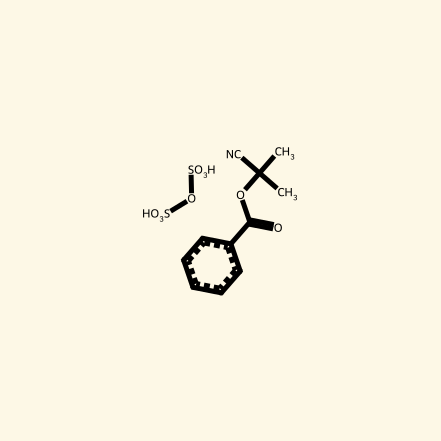 CC(C)(C#N)OC(=O)c1ccccc1.O=S(=O)(O)OS(=O)(=O)O